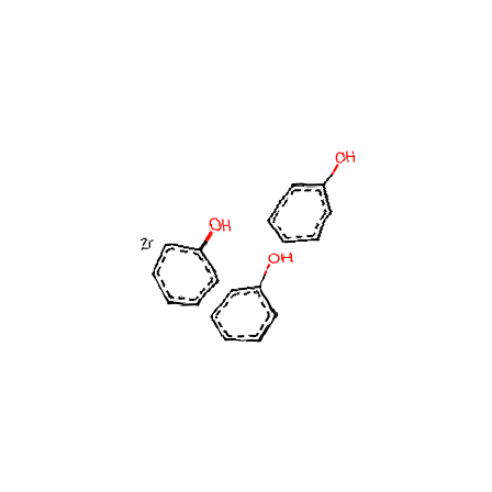 Oc1ccccc1.Oc1ccccc1.Oc1ccccc1.[Zr]